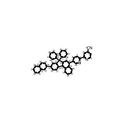 N#Cc1ccnc(-c2ccc(-c3cc4c(c5ccccc35)-c3ccc(-c5ccc6ccccc6c5)cc3C4(c3ccccc3)c3ccccc3)cn2)c1